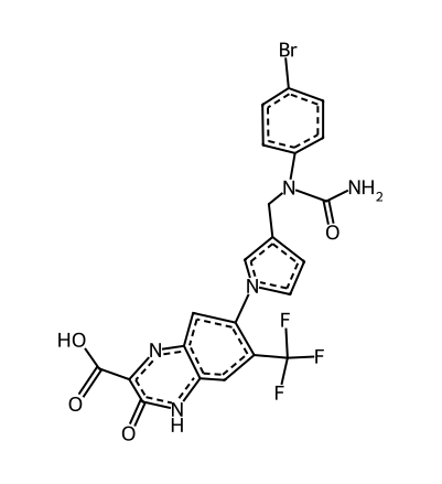 NC(=O)N(Cc1ccn(-c2cc3nc(C(=O)O)c(=O)[nH]c3cc2C(F)(F)F)c1)c1ccc(Br)cc1